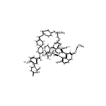 COCOc1cc(-c2ncc3c(N4CCC[C@@](C)(O)C4)nc(OC[C@@H](CN4CCN(CC5CCC6(CC5)CCN(C(=O)c5ccc(C)c(N7CCC(=O)NC7=O)c5)CC6)CC4)OC)nc3c2F)c2c(C#C[Si](C(C)C)(C(C)C)C(C)C)c(F)ccc2c1